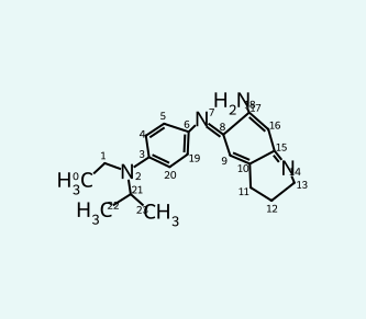 CCN(c1ccc(N=C2C=C3CCCN=C3C=C2N)cc1)C(C)C